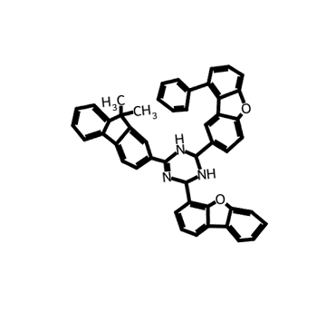 CC1(C)c2ccccc2-c2ccc(C3=NC(c4cccc5c4oc4ccccc45)NC(c4ccc5oc6cccc(-c7ccccc7)c6c5c4)N3)cc21